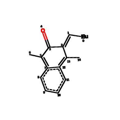 CCC(C)C=C1C(=O)C(C)=c2ccccc2=C1C